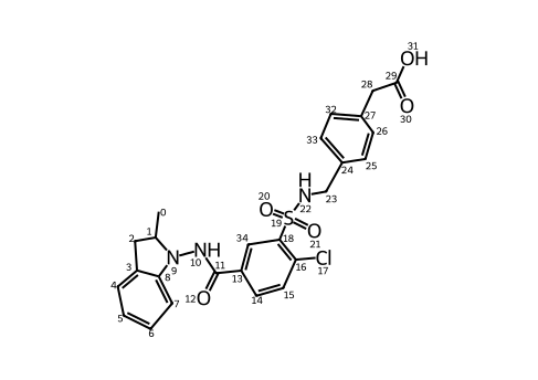 CC1Cc2ccccc2N1NC(=O)c1ccc(Cl)c(S(=O)(=O)NCc2ccc(CC(=O)O)cc2)c1